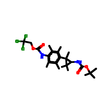 Cc1c(C)c(C2(C)C(NC(=O)OC(C)(C)C)C2(C)C)c(C)c(C)c1NC(=O)OCC(Cl)(Cl)Cl